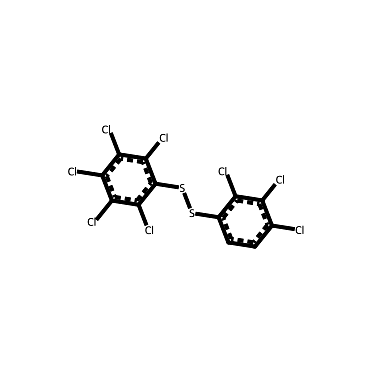 Clc1ccc(SSc2c(Cl)c(Cl)c(Cl)c(Cl)c2Cl)c(Cl)c1Cl